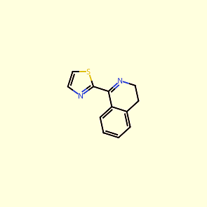 c1ccc2c(c1)CCN=C2c1nccs1